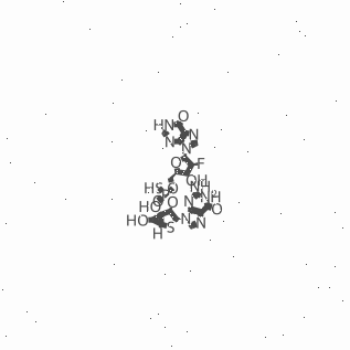 Nc1nc2c(ncn2[C@@H]2S[C@@H]3C(O)[C@]3(O)[C@H]2OP(=O)(S)OC[C@H]2O[C@@H](n3cnc4c(=O)[nH]cnc43)[C@@H](F)[C@@H]2O)c(=O)[nH]1